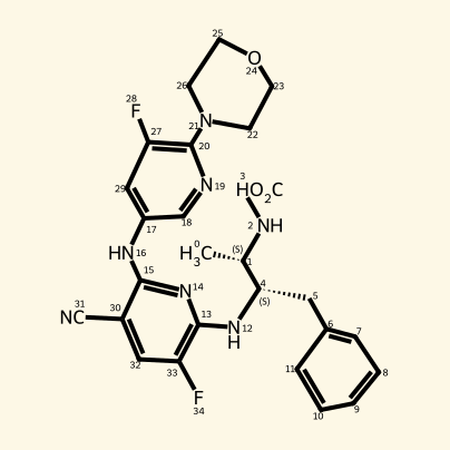 C[C@H](NC(=O)O)[C@H](Cc1ccccc1)Nc1nc(Nc2cnc(N3CCOCC3)c(F)c2)c(C#N)cc1F